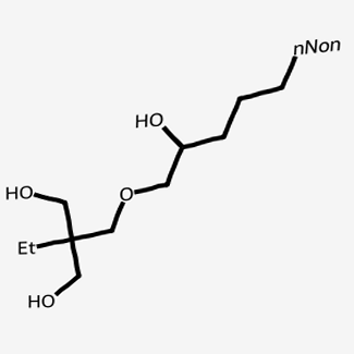 CCCCCCCCCCCCC(O)COCC(CC)(CO)CO